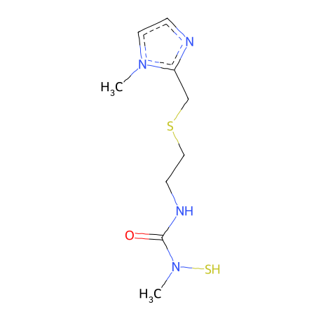 CN(S)C(=O)NCCSCc1nccn1C